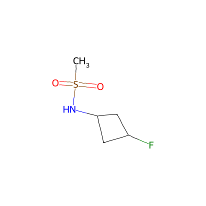 CS(=O)(=O)NC1CC(F)C1